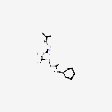 CC(C)=N/N=C1\NC(=O)C(CC(=O)NC2CCCCC2)S1